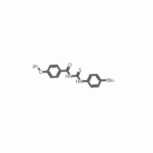 CC(C)Oc1ccc(C(=O)NC(=S)Nc2ccc(C(C)(C)C)cc2)cc1